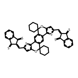 S=C1C(=Cc2cc3c(s2)-c2cc4c(cc2C2(CCCCC2)O3)-c2sc(C=C3C(=S)c5ccccc5C3=S)cc2OC42CCCCC2)C(=S)c2ccccc21